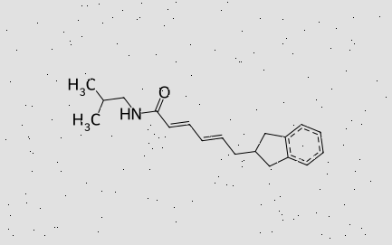 CC(C)CNC(=O)/C=C/C=C/CC1Cc2ccccc2C1